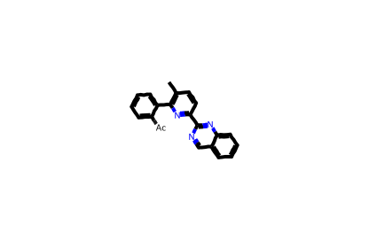 CC(=O)c1ccccc1-c1nc(-c2ncc3ccccc3n2)ccc1C